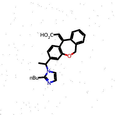 CCCCc1nccn1C(C)c1ccc2c(c1)OCc1ccccc1/C2=C/C(=O)O